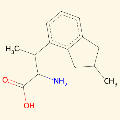 CC1Cc2cccc(C(C)C(N)C(=O)O)c2C1